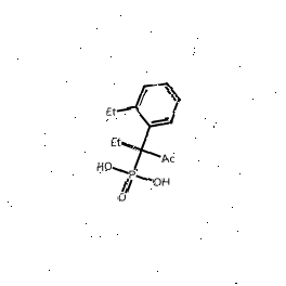 CCc1ccccc1C(CC)(C(C)=O)P(=O)(O)O